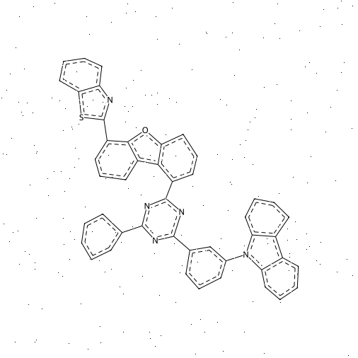 c1ccc(-c2nc(-c3cccc(-n4c5ccccc5c5ccccc54)c3)nc(-c3cccc4oc5c(-c6nc7ccccc7s6)cccc5c34)n2)cc1